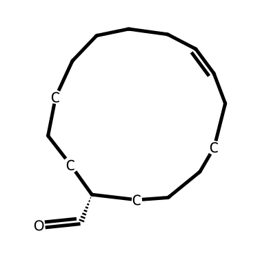 O=C[C@H]1CCCCCC=CCCCCCCC1